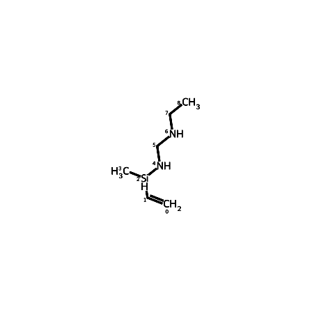 C=C[SiH](C)NCNCC